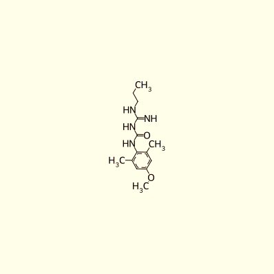 CCCNC(=N)NC(=O)Nc1c(C)cc(OC)cc1C